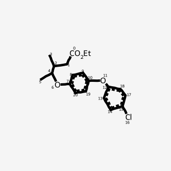 CCOC(=O)CC(C)C(C)Oc1ccc(Oc2ccc(Cl)cc2)cc1